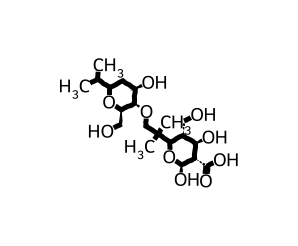 CC(C)C1C[C@@H](O)[C@H](OCC(C)(C)C2O[C@H](O)[C@@H](C(=O)O)[C@H](O)[C@H]2CO)[C@@H](CO)O1